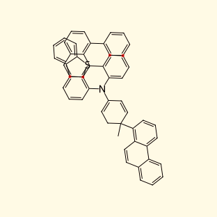 CC1(c2cccc3c2ccc2ccccc23)C=CC(N(c2ccccc2-c2cccc3cccc(-c4ccccc4)c23)c2cccc3c2sc2ccccc23)=CC1